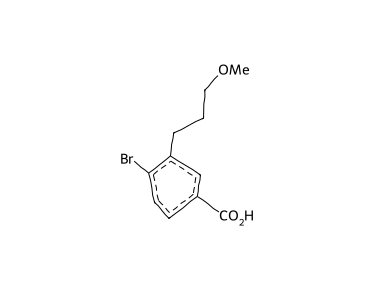 COCCCc1cc(C(=O)O)ccc1Br